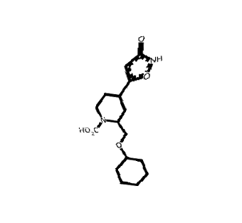 O=C(O)N1CCC(c2cc(=O)[nH]o2)CC1COC1CCCCC1